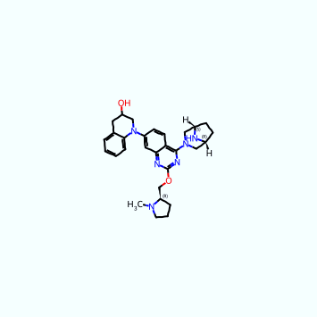 CN1CCC[C@@H]1COc1nc(N2C[C@H]3CC[C@@H](C2)N3)c2ccc(N3CC(O)Cc4ccccc43)cc2n1